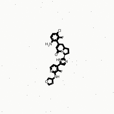 Nc1ccc(Cl)c(F)c1C1=CC(=O)N2C(CC[C@H]2c2ncc(-c3ccnc(NC4CCOC4)c3F)[nH]2)C1